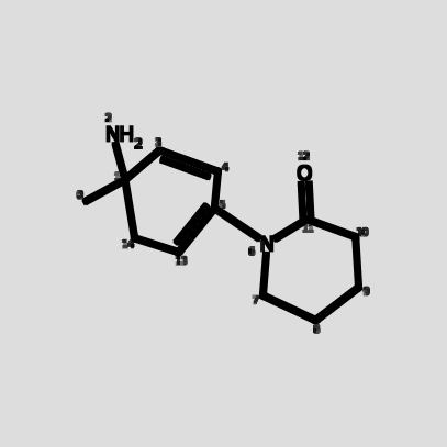 CC1(N)C=CC(N2CCCCC2=O)=CC1